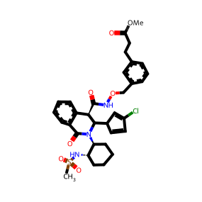 COC(=O)CCc1cccc(CONC(=O)[C@@H]2c3ccccc3C(=O)N([C@H]3CCCC[C@@H]3NS(C)(=O)=O)C2C2C=CC(Cl)=C2)c1